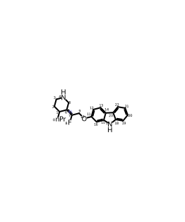 CCCC1CCNC/C1=C(/F)COc1ccc2c(c1)[nH]c1ccccc12